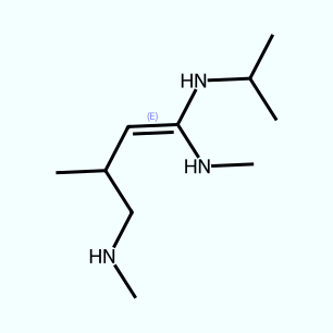 CNCC(C)/C=C(\NC)NC(C)C